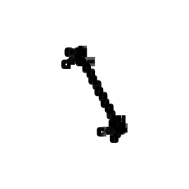 COc1ccc2c(c1)C(c1ccc(Cl)cc1)=N[C@@H](CC(=O)NCCOCCOCCOCCOCCOCCOCCOCCOCCOCCNC(=O)C[C@@H]1N=C(c3ccc(Cl)cc3)c3cc(OC)ccc3-n3c(C)nnc31)c1nnc(C)n1-2